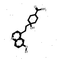 CCOc1ccc2nccc(CCC3(O)CCC(C(N)=O)CC3)c2c1